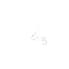 CC1(C)Cc2cc(NC(=O)c3cnn4cccnc34)c(N3CC4C(C3)C4C(N)=O)cc2O1